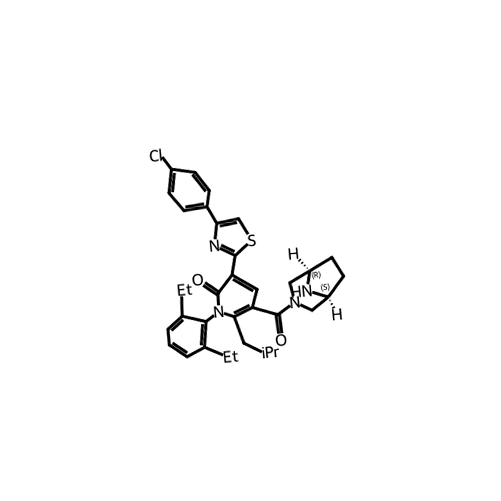 CCc1cccc(CC)c1-n1c(CC(C)C)c(C(=O)N2C[C@H]3CC[C@@H](C2)N3)cc(-c2nc(-c3ccc(Cl)cc3)cs2)c1=O